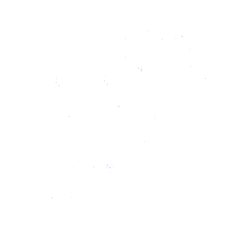 CSc1ccc(F)c(-c2nc(C(=O)Nc3cnccc3[C@H]3C[C@@H](NC(=O)OC(C)(C)C)[C@](C)(O)[C@@H](C)O3)ccc2F)c1F